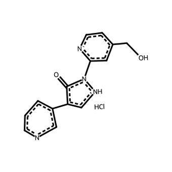 Cl.O=c1c(-c2cccnc2)c[nH]n1-c1cc(CO)ccn1